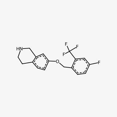 Fc1ccc(COc2ccc3c(c2)CNCC3)c(C(F)(F)F)c1